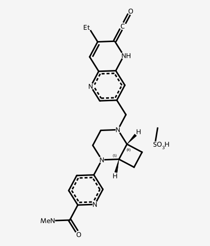 CCC1=Cc2ncc(CN3CCN(c4ccc(C(=O)NC)nc4)[C@H]4CC[C@H]43)cc2NC1=C=O.CS(=O)(=O)O